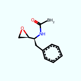 BC(=O)N[C@@H](Cc1ccccc1)[C@H]1CO1